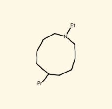 CCN1CCCCC(C(C)C)CCCC1